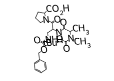 CC(C(=O)NC(CNC(=O)OCc1ccccc1)C(=O)N1CCCC1C(=O)O)N(C)C(=O)OC(C)(C)C